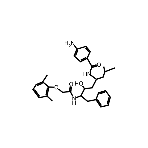 Cc1cccc(C)c1OCC(=O)NC(Cc1ccccc1)C(O)CC(CC(C)C)NC(=O)c1ccc(N)cc1